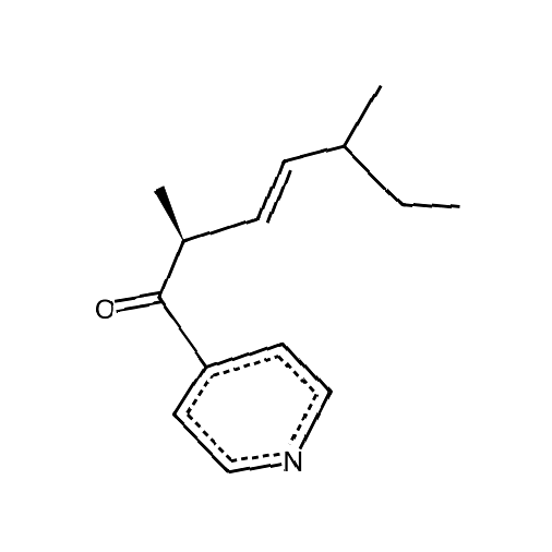 CCC(C)/C=C/[C@H](C)C(=O)c1ccncc1